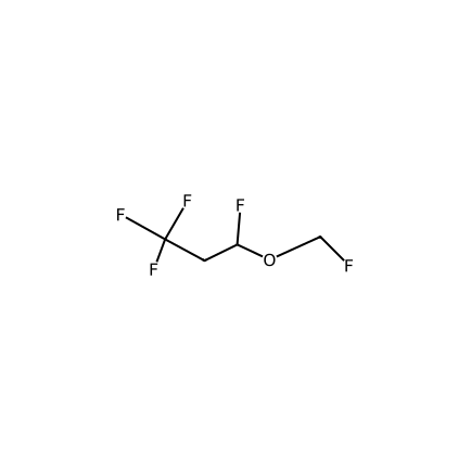 FCOC(F)CC(F)(F)F